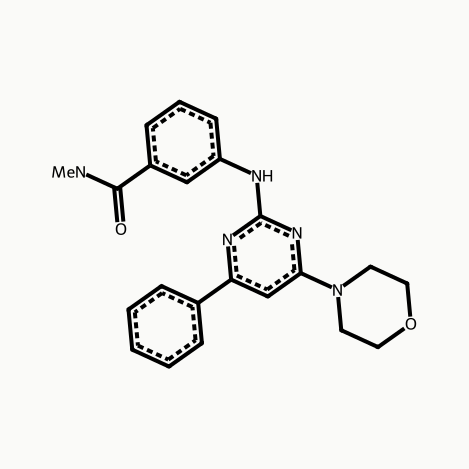 CNC(=O)c1cccc(Nc2nc(-c3ccccc3)cc(N3CCOCC3)n2)c1